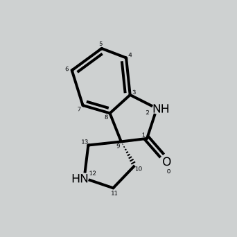 O=C1Nc2ccccc2[C@@]12CCNC2